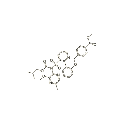 COC(=O)c1ccc(COc2ccccc2-c2ncccc2S(=O)(=O)N(C(=O)OCC(C)C)c2ncc(C)nc2OC)cc1